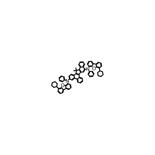 CC1(C)c2c(cc(N(c3ccccc3)c3cccc4c3oc3c(C5CCCCC5)cccc34)c3ccccc23)-c2c1c1ccc(N(c3ccccc3)c3cccc4c3oc3c(C5CCCCC5)cccc34)cc1c1ccccc21